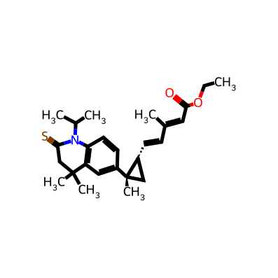 CCOC(=O)/C=C(C)/C=C/[C@@H]1C[C@]1(C)c1ccc2c(c1)C(C)(C)CC(=S)N2C(C)C